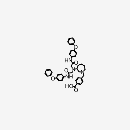 O=C(CN(CC(=O)Nc1ccc(Oc2ccccc2)cc1)C1CCCCN(Cc2ccc(C(=O)O)cc2)C1)Nc1ccc(Oc2ccccc2)cc1